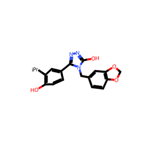 CC(C)c1cc(-c2nnc(O)n2Cc2ccc3c(c2)OCO3)ccc1O